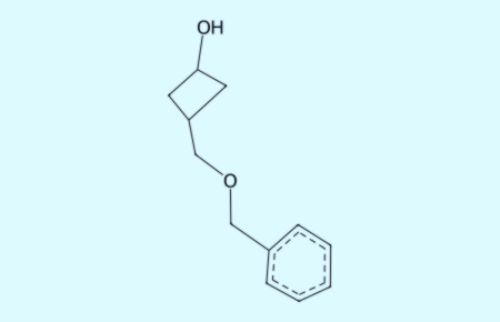 OC1CC(COCc2ccccc2)C1